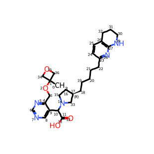 CC1(OCc2ncncc2C(C(=O)O)N2CC[C@@H](CCCCCc3ccc4c(n3)NCCC4)C2)COC1